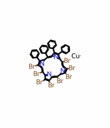 BrC1=C(Br)C2=C(Br)C3=NC(=C(Br)C4=NC(=C(c5ccccc5)C5=NC(=C(Br)C1=N2)C(Br)=C5c1ccccc1)C(c1ccccc1)=C4c1ccccc1)C(Br)=C3Br.[Cu]